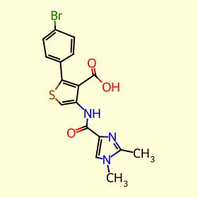 Cc1nc(C(=O)Nc2csc(-c3ccc(Br)cc3)c2C(=O)O)cn1C